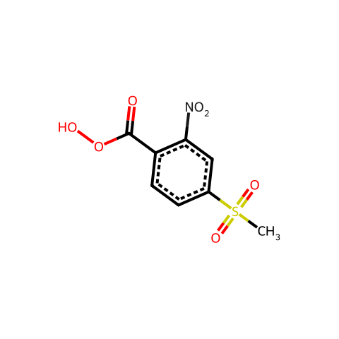 CS(=O)(=O)c1ccc(C(=O)OO)c([N+](=O)[O-])c1